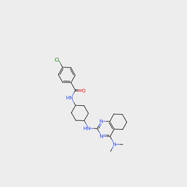 CN(C)c1nc(NC2CCC(NC(=O)c3ccc(Cl)cc3)CC2)nc2c1CCCC2